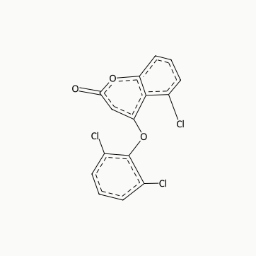 O=c1cc(Oc2c(Cl)cccc2Cl)c2c(Cl)cccc2o1